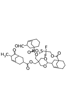 CC1C=C2CC(C(=O)OCC3(COC(=O)C45CCCC(=CC(C=O)C4)C5)COC(C4C=C5CCCC(C(=O)OCC(F)(F)S(=O)(=O)O)(C5)C4)OC3)CC(C2)C1=O